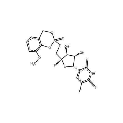 COc1cccc2c1OP(=O)(OC[C@@]1(F)O[C@@H](n3cc(F)c(=S)[nH]c3=O)[C@H](O)[C@@H]1O)OC2